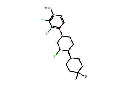 CCC1(C)CCC(C2CCC(c3ccc(OC)c(F)c3F)CC2F)CC1